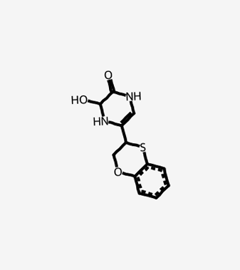 O=C1NC=C(C2COc3ccccc3S2)NC1O